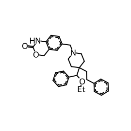 CCOC(c1ccccc1)C1(CCc2ccccc2)CCN(Cc2ccc3c(c2)COC(=O)N3)CC1